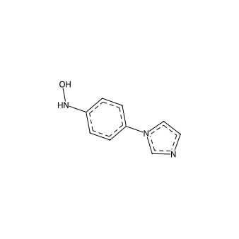 ONc1ccc(-n2ccnc2)cc1